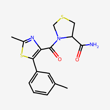 Cc1cccc(-c2sc(C)nc2C(=O)N2CSCC2C(N)=O)c1